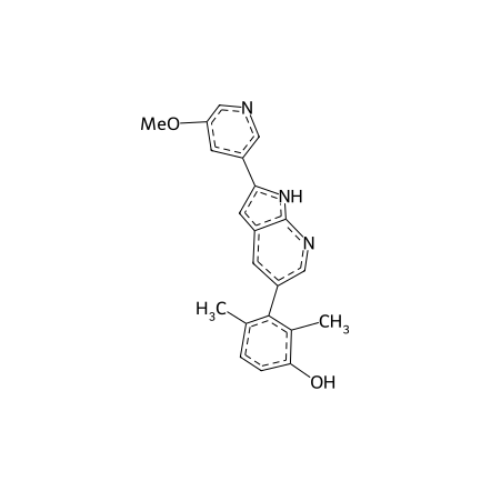 COc1cncc(-c2cc3cc(-c4c(C)ccc(O)c4C)cnc3[nH]2)c1